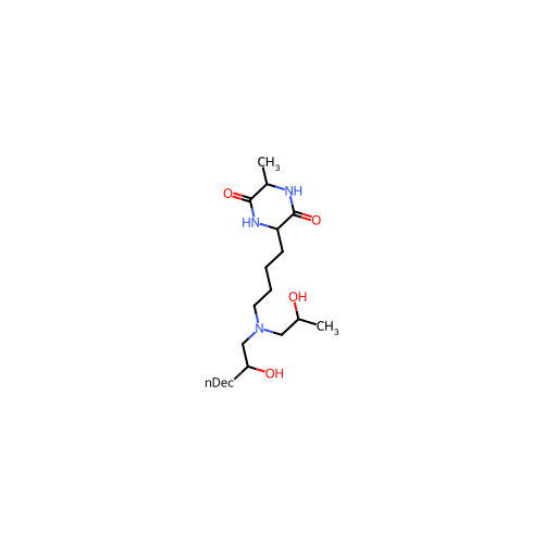 CCCCCCCCCCC(O)CN(CCCCC1NC(=O)C(C)NC1=O)CC(C)O